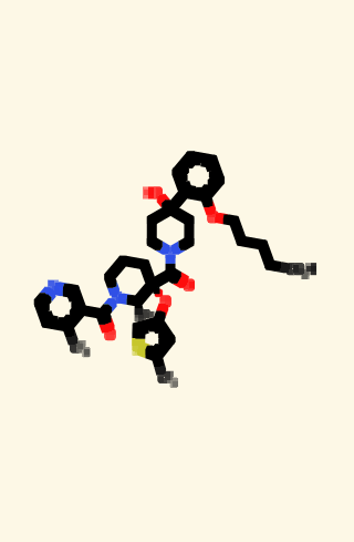 CCC[C@H]1N(C(=O)c2cnccc2C(F)(F)F)CCC[C@@]1(Oc1csc(C(F)(F)F)c1)C(=O)N1CCC(O)(c2ccccc2OCCCCC(=O)O)CC1